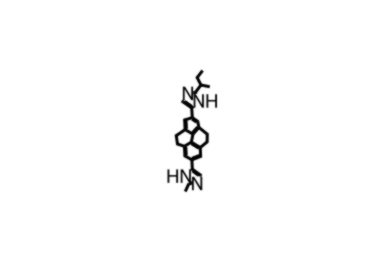 CCC(C)c1ncc(-c2cc3c4c(c2)CCc2cc(-c5cnc(C)[nH]5)cc(c2-4)CC3)[nH]1